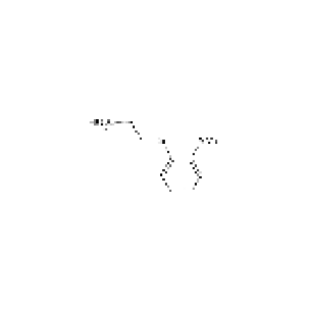 CSc1ccccc1SCCC(=O)O